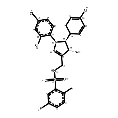 Cc1ccc(F)cc1S(=O)(=O)NCC1=NN(c2ccc(Cl)cc2Cl)[C@@H](C2C=CC(Cl)=CC2)[C@@H]1C